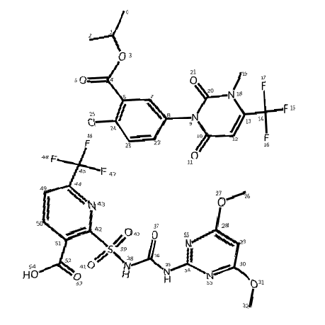 CC(C)OC(=O)c1cc(-n2c(=O)cc(C(F)(F)F)n(C)c2=O)ccc1Cl.COc1cc(OC)nc(NC(=O)NS(=O)(=O)c2nc(C(F)(F)F)ccc2C(=O)O)n1